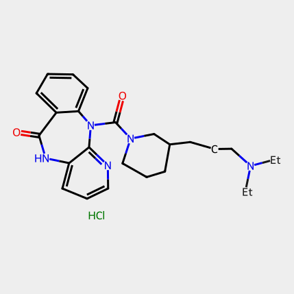 CCN(CC)CCCC1CCCN(C(=O)N2c3ccccc3C(=O)Nc3cccnc32)C1.Cl